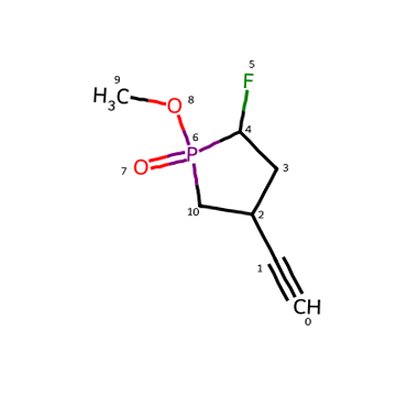 C#CC1CC(F)P(=O)(OC)C1